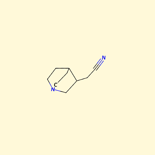 N#CCC1CN2CCC1CC2